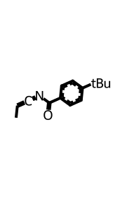 CC=C=NC(=O)c1ccc(C(C)(C)C)cc1